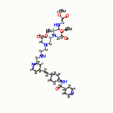 CC(C)(C)OC(=O)CNCCN(CCN(CCNCc1cc(C#Cc2ccc(NC(=O)c3ccncc3)cc2)ccn1)CC(=O)OC(C)(C)C)CC(=O)OC(C)(C)C